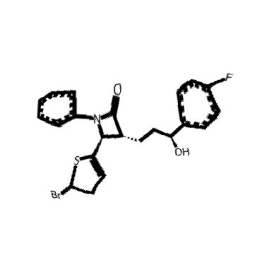 O=C1[C@H](CC[C@H](O)c2ccc(F)cc2)[C@@H](C2=CCC(Br)S2)N1c1ccccc1